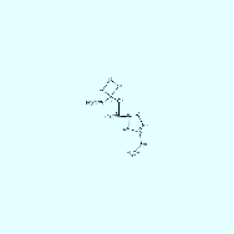 C=CC1(OC(=O)C2CN=C(CC)S2)CCC1